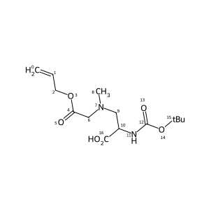 C=CCOC(=O)CN(C)CC(NC(=O)OC(C)(C)C)C(=O)O